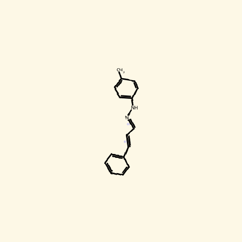 Cc1ccc(N/N=C/C=C/c2ccccc2)cc1